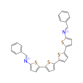 C(=N\c1ccc(-c2ccc(-c3ccc(-c4ccc(/N=C/c5ccccc5)s4)s3)s2)s1)/c1ccccc1